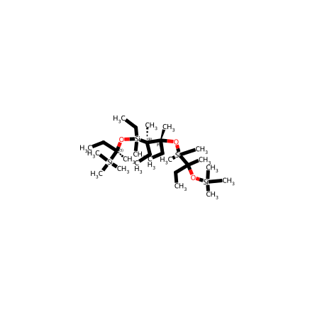 CCC(C)(O[Si](C)(C)C)[Si](C)(C)O[C@](C)(CC)[C@@](C)(CC)[Si](C)(CC)O[C@](C)(CC)[Si](C)(C)C